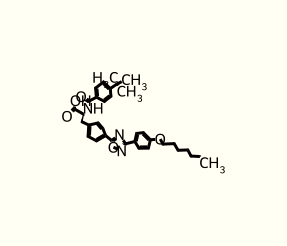 CCCCCCCOc1ccc(-c2noc(-c3ccc(C[C@H](NC(=O)c4ccc(C(C)(C)C)cc4)C(=O)O)cc3)n2)cc1